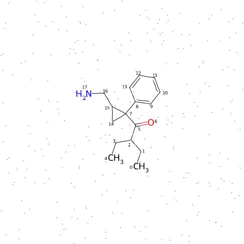 CCC(CC)C(=O)C1(c2ccccc2)CC1CN